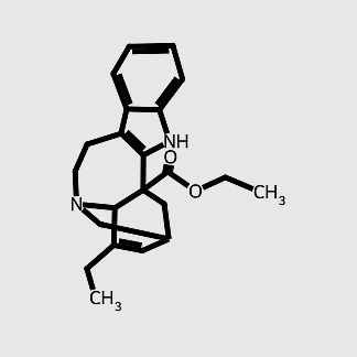 CCOC(=O)C12CC3C=C(CC)C1N(CCc1c2[nH]c2ccccc12)C3